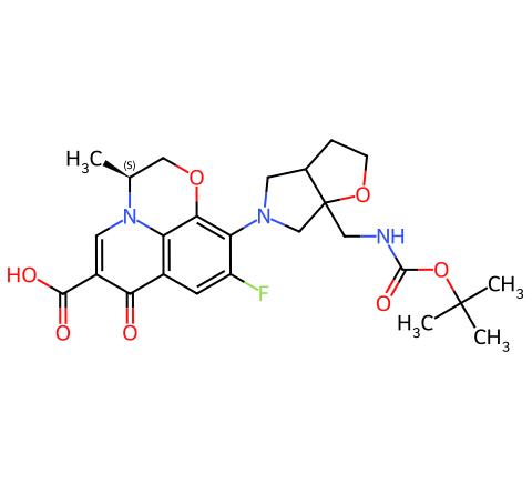 C[C@H]1COc2c(N3CC4CCOC4(CNC(=O)OC(C)(C)C)C3)c(F)cc3c(=O)c(C(=O)O)cn1c23